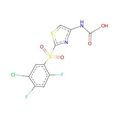 O=C(O)Nc1csc(S(=O)(=O)c2cc(Cl)c(F)cc2F)n1